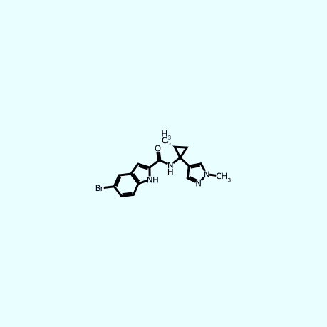 C[C@@H]1CC1(NC(=O)c1cc2cc(Br)ccc2[nH]1)c1cnn(C)c1